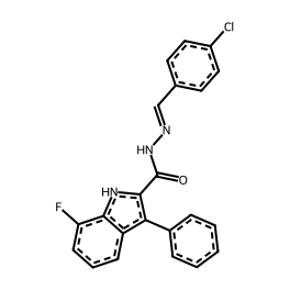 O=C(NN=Cc1ccc(Cl)cc1)c1[nH]c2c(F)cccc2c1-c1ccccc1